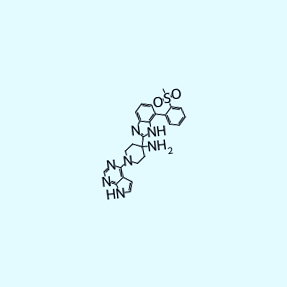 CS(=O)(=O)c1ccccc1-c1cccc2nc(C3(N)CCN(c4ncnc5[nH]ccc45)CC3)[nH]c12